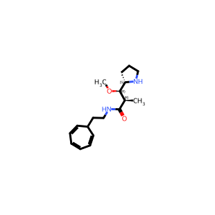 CO[C@@H]([C@@H]1CCCN1)[C@@H](C)C(=O)NCCC1C=CC=CC=C1